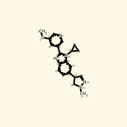 COc1cncc(-c2nc3ccc(C4C=NN(C)C4)cc3n2C2CC2)c1